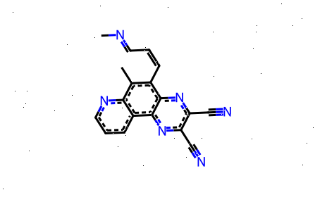 C/N=C/C=C\c1c(C)c2ncccc2c2nc(C#N)c(C#N)nc12